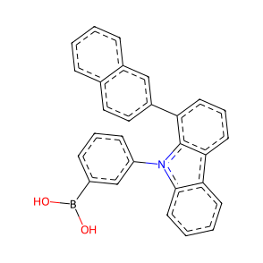 OB(O)c1cccc(-n2c3ccccc3c3cccc(-c4ccc5ccccc5c4)c32)c1